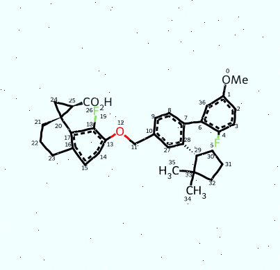 COc1ccc(F)c(-c2ccc(COc3ccc4c(c3F)[C@]3(CCC4)C[C@H]3C(=O)O)cc2[C@@H]2CCCC2(C)C)c1